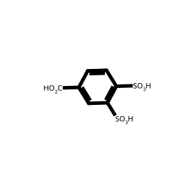 O=C(O)c1ccc(S(=O)(=O)O)c(S(=O)(=O)O)c1